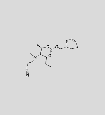 CCCC([C@@H](C)OC(=O)OCC1=CC=CCC1)N(C)CCC#N